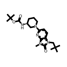 Cn1c(=O)n(CC(C)(C)C)c2ccc(N3CCC[C@H](NC(=O)OC(C)(C)C)C3)nc21